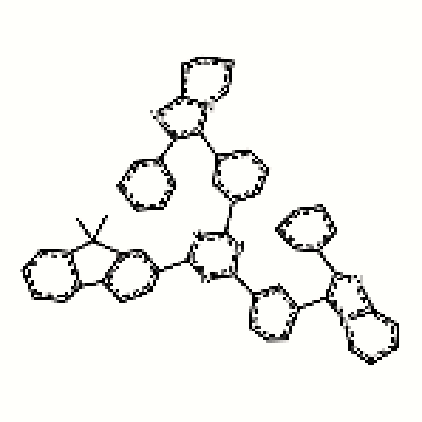 CC1(C)c2ccccc2-c2ccc(-c3nc(-c4cccc(-c5c(-c6ccccc6)nc6ccccn56)c4)nc(-c4cccc(-c5c(-c6ccccc6)nc6ccccn56)c4)n3)cc21